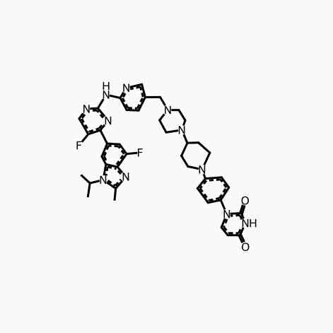 Cc1nc2c(F)cc(-c3nc(Nc4ccc(CN5CCN(C6CCN(c7ccc(-n8ccc(=O)[nH]c8=O)cc7)CC6)CC5)cn4)ncc3F)cc2n1C(C)C